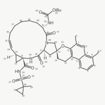 Cc1nc2c(F)cccc2c2c1O[C@]1(CC2)C[C@H]2C(=O)N[C@]3(C(=O)NS(=O)(=O)C4(C)CC4)C[C@H]3/C=C\CCCCC[C@H](NC(=O)OCC(C)C)C(=O)N2C1